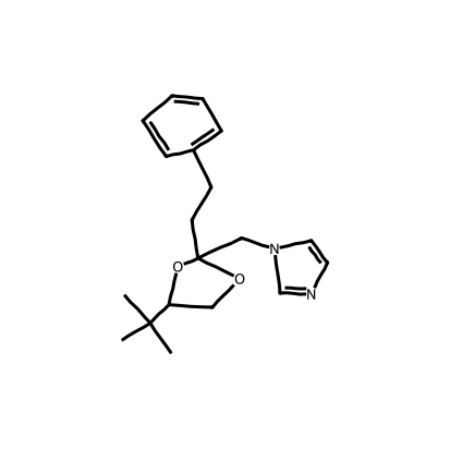 CC(C)(C)C1COC(CCc2ccccc2)(Cn2ccnc2)O1